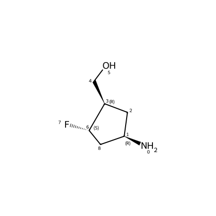 N[C@@H]1C[C@H](CO)[C@@H](F)C1